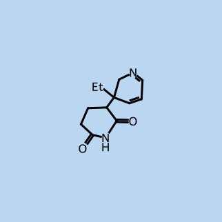 CCC1(C2CCC(=O)NC2=O)C=CC=NC1